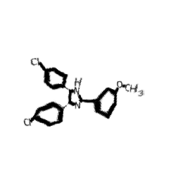 COc1cccc(C2=N[C@H](c3ccc(Cl)cc3)[C@H](c3ccc(Cl)cc3)N2)c1